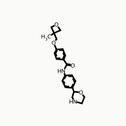 CC1(COc2ccc(C(=O)Nc3ccc(C4CNCCO4)cc3)cc2)COC1